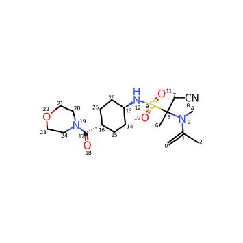 C=C(C)N(C)C(C)(CC#N)S(=O)(=O)N[C@H]1CC[C@H](C(=O)N2CCOCC2)CC1